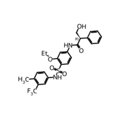 CCOc1cc(NC(=O)[C@@H](CO)c2ccccc2)ccc1S(=O)(=O)Nc1ccc(C)c(C(F)(F)F)c1